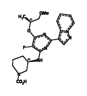 COC[C@H](C)Oc1nc(-c2cnn3ccccc23)nc(N[C@@H]2CCCN(C(=O)O)C2)c1F